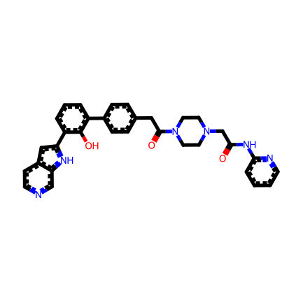 O=C(CN1CCN(C(=O)Cc2ccc(-c3cccc(-c4cc5ccncc5[nH]4)c3O)cc2)CC1)Nc1ccccn1